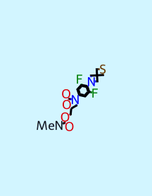 CNC(=O)OCC1CN(c2cc(F)c(N3CC4(CSC4)C3)c(F)c2)C(=O)O1